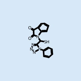 O=C1C(=O)N(C(S)c2nnnn2-c2ccccc2)c2ccccc21